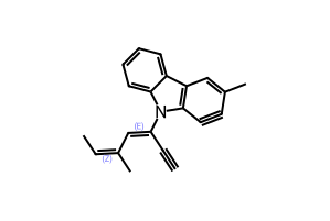 C#C/C(=C\C(C)=C/C)n1c2c#cc(C)cc2c2ccccc21